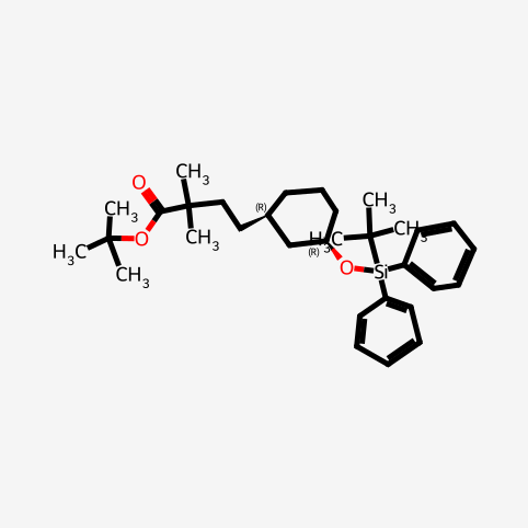 CC(C)(C)OC(=O)C(C)(C)CC[C@H]1CCC[C@@H](O[Si](c2ccccc2)(c2ccccc2)C(C)(C)C)C1